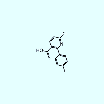 Cc1ccc(-c2nc(Cl)ccc2C(O)=S)cc1